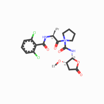 CCO[C@H]1CC(=O)O[C@H]1NC(=O)[N+]1(C(=O)[C@@H](NC(=O)c2c(Cl)cccc2Cl)C(C)C)CCCC1